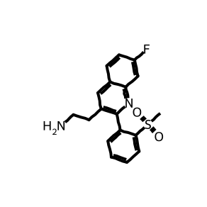 CS(=O)(=O)c1ccccc1-c1nc2cc(F)ccc2cc1CCN